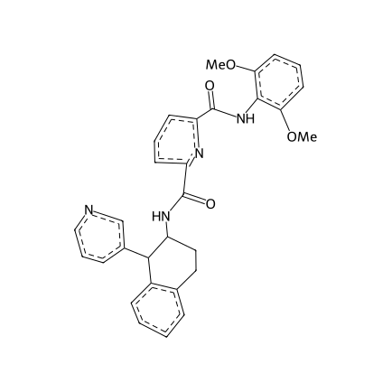 COc1cccc(OC)c1NC(=O)c1cccc(C(=O)NC2CCc3ccccc3C2c2cccnc2)n1